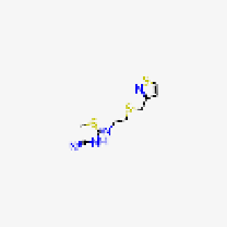 CS/C(=N\CCSCc1ccsn1)NC#N